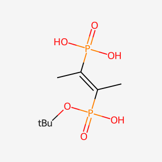 CC(=C(C)P(=O)(O)OC(C)(C)C)P(=O)(O)O